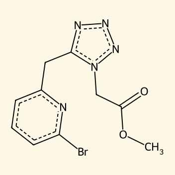 COC(=O)Cn1nnnc1Cc1cccc(Br)n1